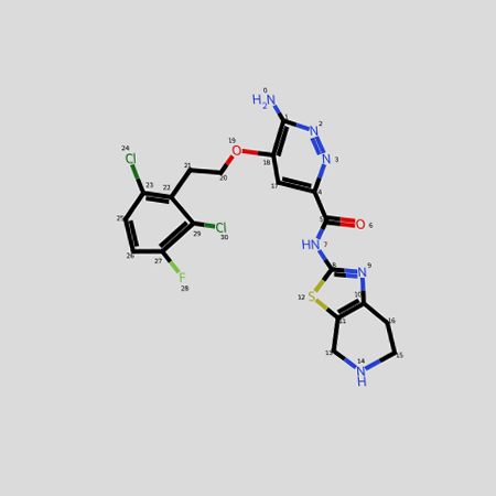 Nc1nnc(C(=O)Nc2nc3c(s2)CNCC3)cc1OCCc1c(Cl)ccc(F)c1Cl